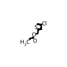 C=CC(=O)OCc1cc(Cl)cs1